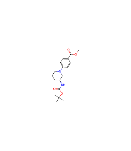 COC(=O)c1ccc(N2CCC[C@H](NC(=O)OC(C)(C)C)C2)cc1